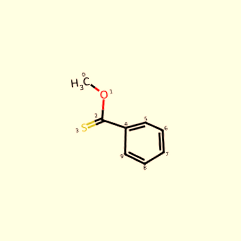 COC(=S)c1ccccc1